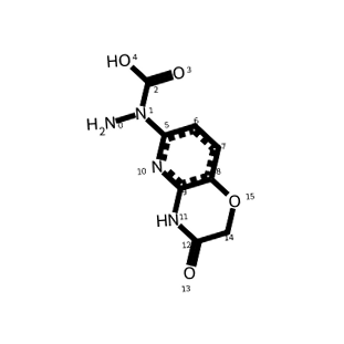 NN(C(=O)O)c1ccc2c(n1)NC(=O)CO2